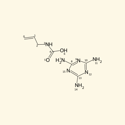 C=CCNC(=O)O.Nc1nc(N)nc(N)n1